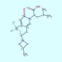 CC(C)CC(C(=O)O)n1cc(CCN2CC(C)C2)c(C(F)(F)F)cc1=O